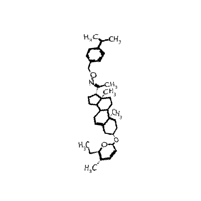 CC[C@H]1OC(O[C@H]2CC[C@@]3(C)C(=CCC4C3CC[C@@]3(C)C4CC[C@@H]3/C(C)=N/OCc3ccc(C(C)C)cc3)C2)C=C[C@@H]1C